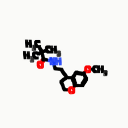 COc1ccc2c(c1)C(CCNC(=O)C(C)(C)C)CCO2